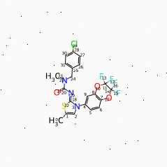 Cc1cn(-c2ccc3c(c2)OC(F)(F)C(F)(F)O3)c(=NC(=O)N(C)Cc2ccc(Cl)cc2)s1